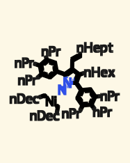 CCCCCCCC=CC1=C(c2cc(CCC)c(CCC)c(CCC)c2)[N+](=[N-])C(c2cc(CCC)c(CCC)c(CCC)c2)=C1CCCCCC.CCCCCCCCCC[CH2][Ni][CH2]CCCCCCCCCC